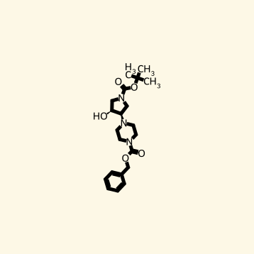 CC(C)(C)OC(=O)N1C[C@@H](O)[C@H](N2CCN(C(=O)OCc3ccccc3)CC2)C1